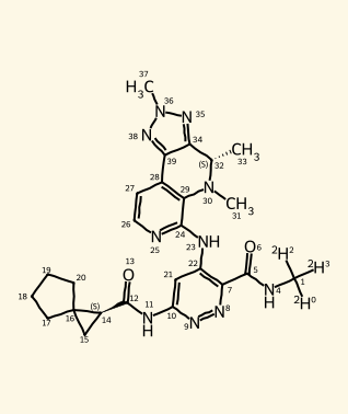 [2H]C([2H])([2H])NC(=O)c1nnc(NC(=O)[C@H]2CC23CCCC3)cc1Nc1nccc2c1N(C)[C@@H](C)c1nn(C)nc1-2